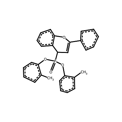 Cc1ccccc1OP(=O)(Oc1ccccc1C)C1C=C(c2ccccc2)Oc2ccccc21